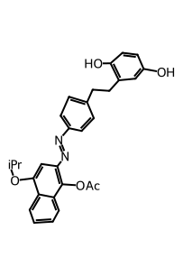 CC(=O)Oc1c(N=Nc2ccc(CCc3cc(O)ccc3O)cc2)cc(OC(C)C)c2ccccc12